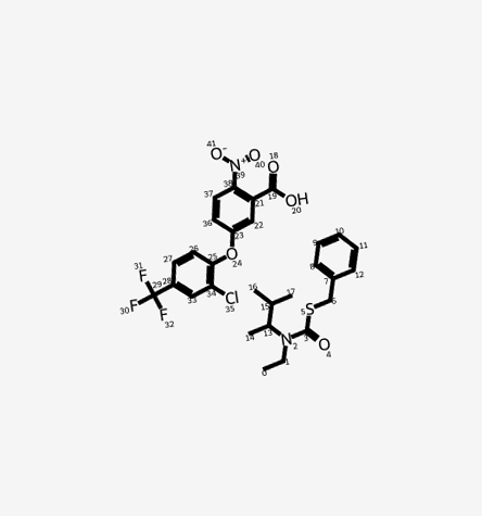 CCN(C(=O)SCc1ccccc1)C(C)C(C)C.O=C(O)c1cc(Oc2ccc(C(F)(F)F)cc2Cl)ccc1[N+](=O)[O-]